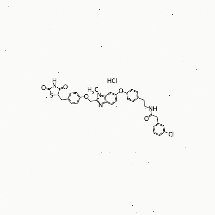 Cl.Cn1c(COc2ccc(CC3SC(=O)NC3=O)cc2)nc2ccc(Oc3ccc(CCNC(=O)Cc4cccc(Cl)c4)cc3)cc21